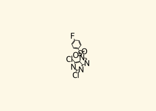 O=S(=O)(c1ccc(F)cc1)n1cnc2nc(Cl)nc(Cl)c21